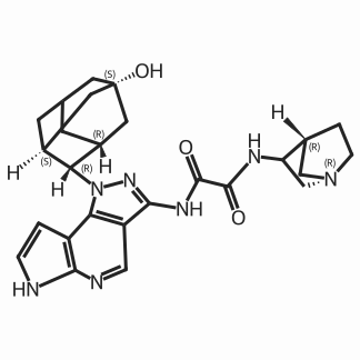 O=C(Nc1nn([C@H]2[C@@H]3CC4C[C@H]2C[C@@](O)(C4)C3)c2c1cnc1[nH]ccc12)C(=O)NC1C[N@@]2CC[C@@H]1C2